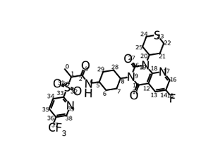 CC(C(=O)NC1CCC(n2c(=O)c3cc(F)cnc3n(C3CCSCC3)c2=O)CC1)S(=O)(=O)c1ccc(C(F)(F)F)cn1